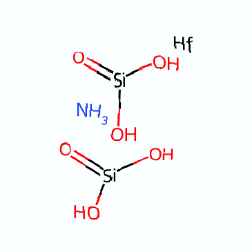 N.O=[Si](O)O.O=[Si](O)O.[Hf]